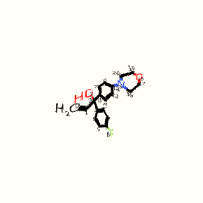 C=CC(O)(c1ccc(F)cc1)c1ccc(N2CCOCC2)cc1